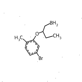 BCC(CC)Oc1cc(Br)ccc1C